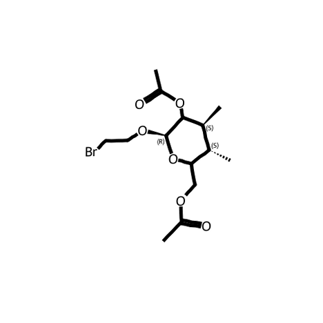 CC(=O)OCC1O[C@@H](OCCBr)C(OC(C)=O)[C@@H](C)[C@@H]1C